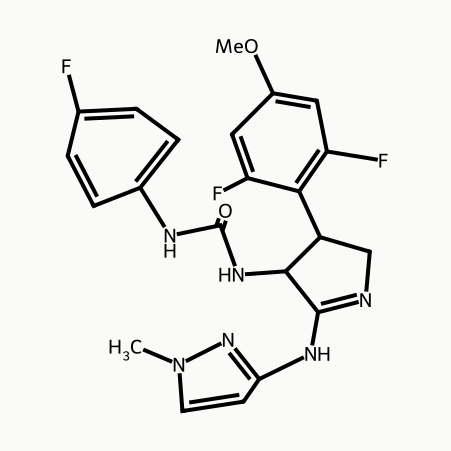 COc1cc(F)c(C2CN=C(Nc3ccn(C)n3)C2NC(=O)Nc2ccc(F)cc2)c(F)c1